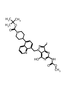 COC(=O)Nc1nc(O)c2c(n1)c(I)nn2Cc1ccc(C2CCN(C(=O)OC(C)(C)C)CC2)c2cccnc12